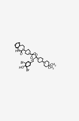 CC1(C)CCN(C2CCN(C(=O)[C@@H](Cc3cc(Br)c(O)c(Br)c3)OC(=O)N3CCC(N4CCc5ccccc5NC4=O)CC3)CC2)CC1